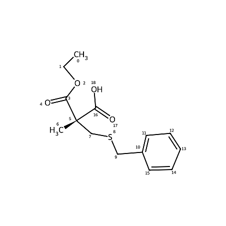 CCOC(=O)[C@@](C)(CSCc1ccccc1)C(=O)O